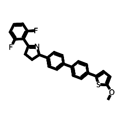 COc1ccc(-c2ccc(-c3ccc(C4CCC(c5c(F)cccc5F)=N4)cc3)cc2)s1